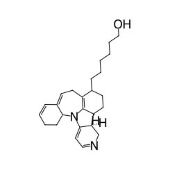 OCCCCCCC1CC[C@H]2C3=C1CC=C1C=CCCC1N3C1=CC=NC[C@@H]12